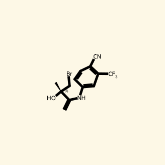 C=C(Nc1ccc(C#N)c(C(F)(F)F)c1)[C@](C)(O)CBr